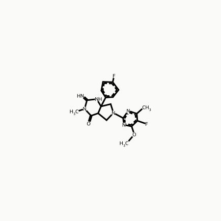 COc1nc(N2CC3C(=O)N(C)C(=N)NC3(c3ccc(F)cc3)C2)nc(C)c1F